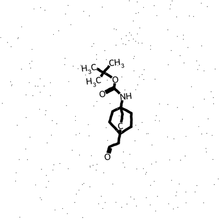 CC(C)(C)OC(=O)NC12CCC(CC=O)(CC1)CC2